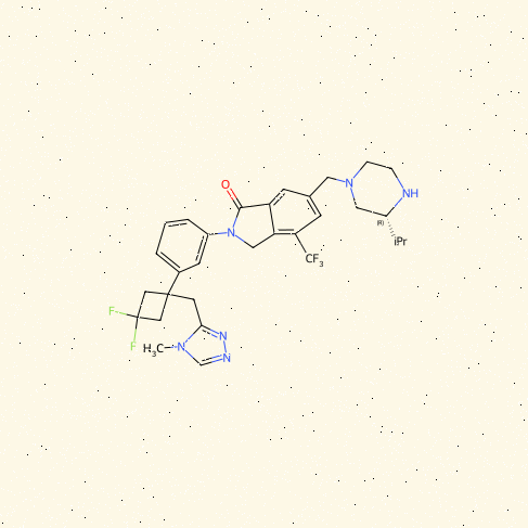 CC(C)[C@@H]1CN(Cc2cc3c(c(C(F)(F)F)c2)CN(c2cccc(C4(Cc5nncn5C)CC(F)(F)C4)c2)C3=O)CCN1